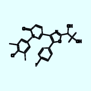 Cc1cc(-n2cc(-c3nc(C(O)C(C)(C)O)oc3-c3ccc(F)cc3)ccc2=O)cc(C)c1Cl